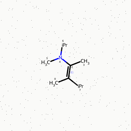 C/C(=C(/C)N(C)C(C)C)C(C)C